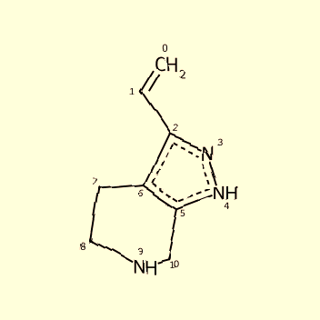 C=Cc1n[nH]c2c1CCNC2